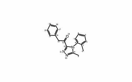 Cc1ccccc1-n1c(C)nnc1C(=O)Cc1ccccc1